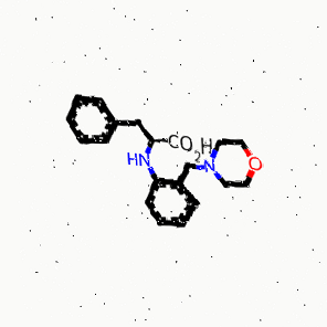 O=C(O)[C@H](Cc1ccccc1)Nc1ccccc1CN1CCOCC1